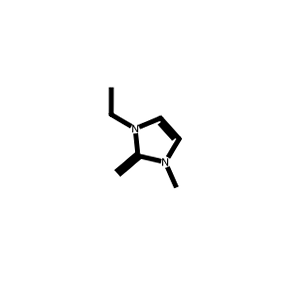 C=C1N(C)C=CN1CC